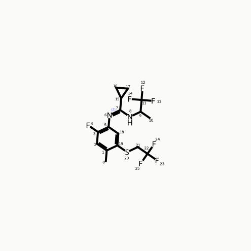 Cc1cc(F)c(/N=C(\NC(C)C(F)(F)F)C2CC2)cc1SCC(F)(F)F